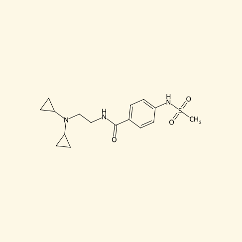 CS(=O)(=O)Nc1ccc(C(=O)NCCN(C2CC2)C2CC2)cc1